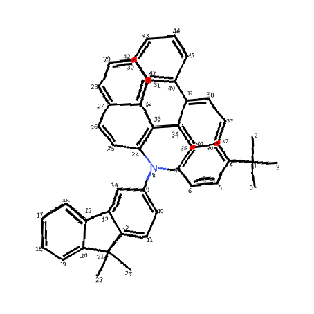 CC(C)(C)c1ccc(N(c2ccc3c(c2)-c2ccccc2C3(C)C)c2ccc3ccccc3c2-c2ccccc2-c2ccccc2)cc1